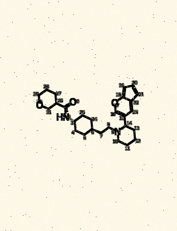 O=C(N[C@H]1CC[C@H](CCN2CCCCC2c2coc3cccc-3c2)CC1)C1CCCOC1